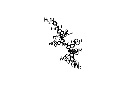 Nc1ccc(C(=O)Nc2ccc3c(O)c(N=Nc4ccc(N=Nc5ccc(N=Nc6cc7c(S(=O)(=O)O)cc(S(=O)(=O)O)cc7cc6S(=O)(=O)O)c6ccc(S(=O)(=O)O)cc56)c5ccc(S(=O)(=O)O)cc45)c(S(=O)(=O)O)cc3c2)cc1